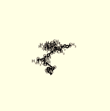 CC[C@H](C)C([C@@H](CC(=O)N1C[C@@H](OC(=O)OCc2ccc(NC(=O)C(CCCNC(N)=O)NC(=O)[C@@H](NC(=O)CCCCCN3C(=O)CC(SCC4(CC(=O)ON5C(=O)CCC5=O)CC4)C3=O)C(C)C)cc2)C[C@H]1[C@H](OC)[C@@H](C)C(=O)NCC(=O)c1ccc2cc(OC)ccc2c1)OC)N(C)C(=O)[C@@H](NC(=O)[C@H](C(C)C)N(C)C)C(C)C